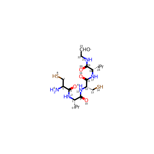 CC(C)[C@H](NC(=O)C(N)CS)C(=O)N[C@@H](CS)C(=O)N[C@H](C(=O)NC[C]=O)C(C)C